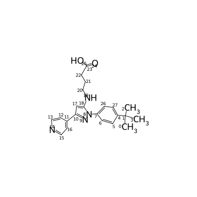 CC(C)(C)c1ccc(-n2nc(-c3ccncc3)cc2NCCCC(=O)O)cc1